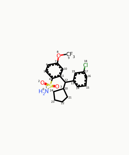 NS(=O)(=O)c1ccc(OC(F)(F)F)cc1C(c1cccc(Cl)c1)C1CCCC1